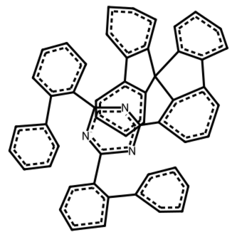 c1ccc(-c2ccccc2-c2nc(-c3ccccc3-c3ccccc3)nc(-c3cccc4c3C3(c5ccccc5-c5ccccc53)c3ccccc3-4)n2)cc1